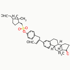 CC1(C)C(CC=O)CC[C@@H]1CS(=O)(=O)Oc1ccc(C/C(=C\C=O)c2ccc3c(c2)CC[C@@H]2[C@@H]3CC[C@]3(C)C(=O)CC[C@@H]23)cc1